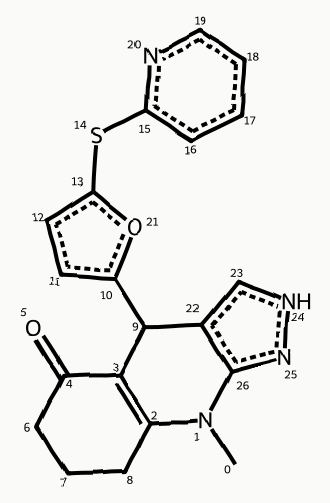 CN1C2=C(C(=O)CCC2)C(c2ccc(Sc3ccccn3)o2)c2c[nH]nc21